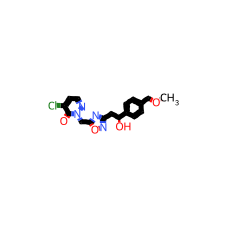 COCc1ccc([C@@H](O)Cc2noc(Cn3nccc(Cl)c3=O)n2)cc1